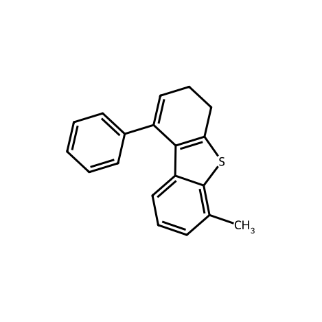 Cc1cccc2c3c(sc12)CCC=C3c1ccccc1